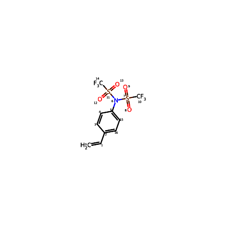 C=Cc1ccc(N(S(=O)(=O)C(F)(F)F)S(=O)(=O)C(F)(F)F)cc1